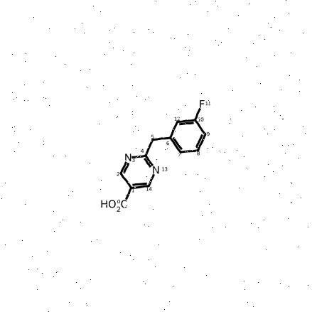 O=C(O)c1cnc(Cc2cccc(F)c2)nc1